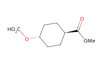 COC(=O)[C@H]1CC[C@H](OC(=O)O)CC1